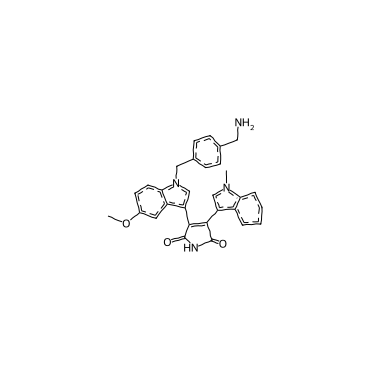 COc1ccc2c(c1)c(C1=C(c3cn(C)c4ccccc34)C(=O)NC1=O)cn2Cc1ccc(CN)cc1